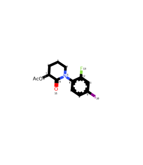 CC(=O)OC1CCCN(c2ccc(I)cc2F)C1=O